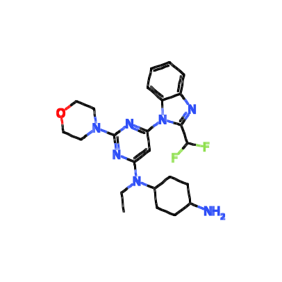 CCN(c1cc(-n2c(C(F)F)nc3ccccc32)nc(N2CCOCC2)n1)C1CCC(N)CC1